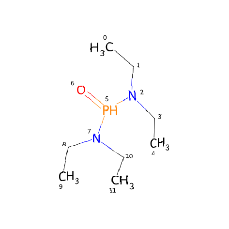 CCN(CC)[PH](=O)N(CC)CC